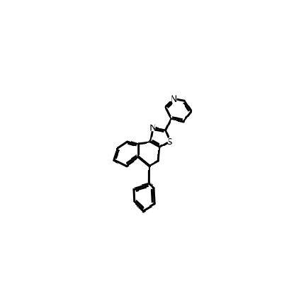 c1ccc(C2Cc3sc(-c4cccnc4)nc3-c3ccccc32)cc1